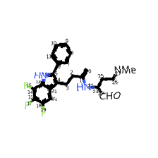 C=C(CCc1c(-c2ccccc2)[nH]c2c(F)c(F)c(F)cc12)NC(C=O)CCNC